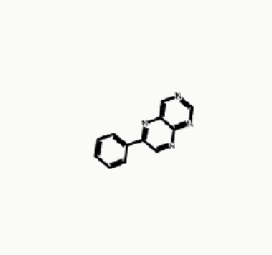 c1ccc(-c2cnc3ncncc3n2)cc1